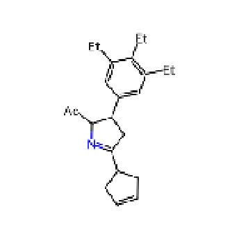 CCc1cc(C2CC(C3CC=CC3)=NC2C(C)=O)cc(CC)c1CC